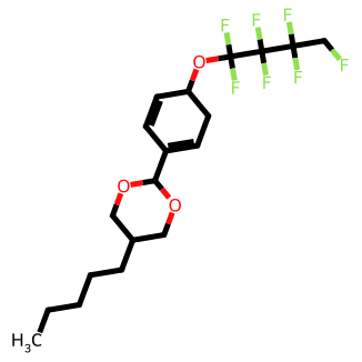 CCCCCC1COC(C2=CCC(OC(F)(F)C(F)(F)C(F)(F)CF)C=C2)OC1